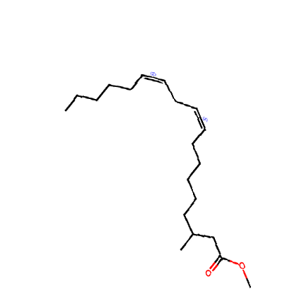 CCCCC/C=C\C/C=C\CCCCCC(C)CC(=O)OC